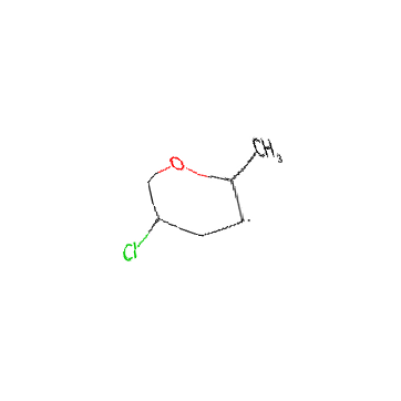 CC1[CH]CC(Cl)CO1